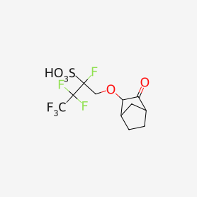 O=C1C2CCC(C2)C1OCC(F)(C(F)(F)C(F)(F)F)S(=O)(=O)O